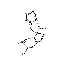 Cc1cc2c(cc1C)[C](Cc1ccccc1)([Hf]([CH3])[CH3])C=C2